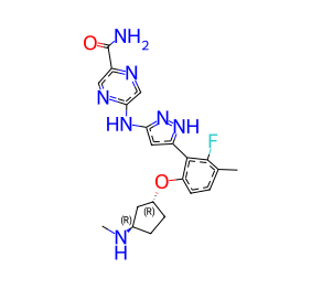 CN[C@@H]1CC[C@@H](Oc2ccc(C)c(F)c2-c2cc(Nc3cnc(C(N)=O)cn3)n[nH]2)C1